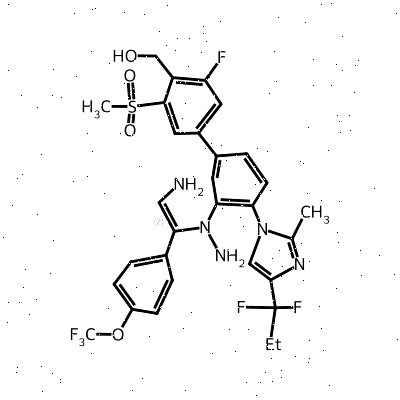 CCC(F)(F)c1cn(-c2ccc(-c3cc(F)c(CO)c(S(C)(=O)=O)c3)cc2N(N)/C(=C\N)c2ccc(OC(F)(F)F)cc2)c(C)n1